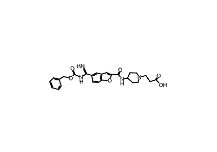 N=C(NC(=O)OCc1ccccc1)c1ccc2oc(C(=O)NC3CCN(CCC(=O)O)CC3)cc2c1